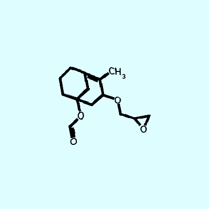 CC1=C2CCCC(OC=O)(C2)CC1OCC1CO1